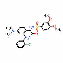 COc1ccc(S(=O)(=O)NC(C(N)=O)c2ccc(N(C)C)cc2Cc2ccccc2Cl)cc1OC